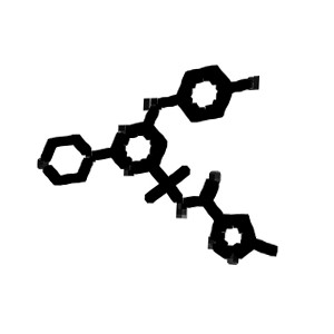 Cc1cc(C(=O)NC(C)(C)c2cc(Nc3ccc(Cl)cc3)nc(N3CCOCC3)n2)no1